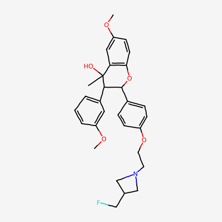 COc1cccc(C2C(c3ccc(OCCN4CC(CF)C4)cc3)Oc3ccc(OC)cc3C2(C)O)c1